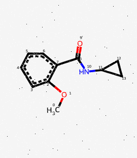 COc1[c]cccc1C(=O)NC1CC1